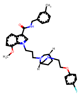 COc1cccc2c(C(=O)NCc3cccc(C)c3)cn(CCCN3C[C@@H]4CC[C@H]3CN4CCOc3ccc(F)cc3)c12